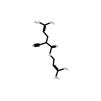 CC(C)=CCOC(=O)C(C#N)CC=C(C)C